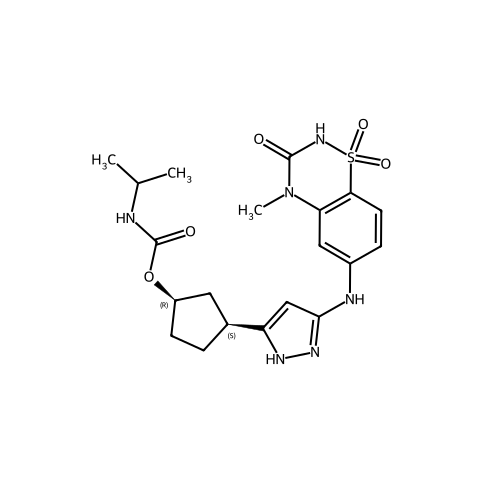 CC(C)NC(=O)O[C@@H]1CC[C@H](c2cc(Nc3ccc4c(c3)N(C)C(=O)NS4(=O)=O)n[nH]2)C1